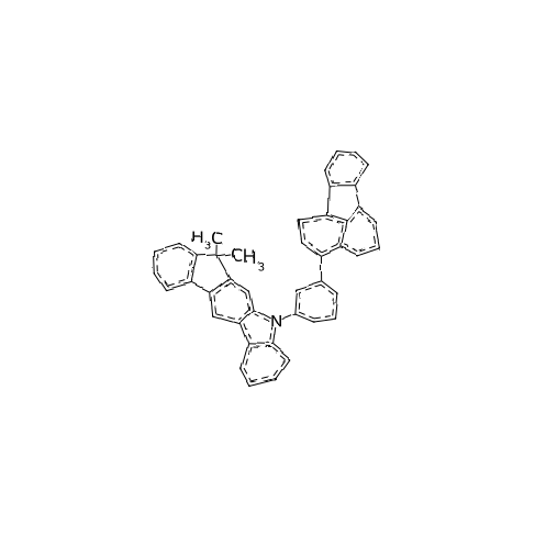 CC1(C)c2ccccc2-c2cc3c4ccccc4n(-c4cccc(-c5ccc6c7c(cccc57)-c5ccccc5-6)c4)c3cc21